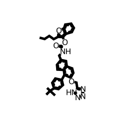 CCCCc1oc2ccccc2c1OC(=O)NCc1ccc2c(-c3ccc(C(C)(C)C)cc3)c(OCc3nnn[nH]3)ccc2c1